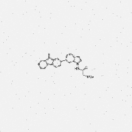 CNCC(=O)Nn1ccc2ccc(-c3ccc4c(c3)[nH]c3ccccc34)cc21